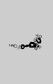 Cn1c(=O)n(C2CCC(=O)NC2=O)c2ccc(C#CC3CCC(C(=O)O)CC3)cc21